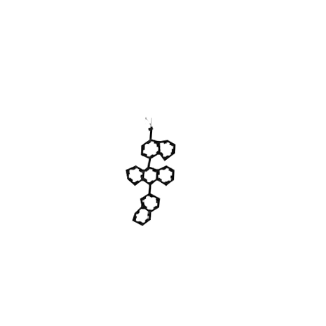 N#Cc1ccc(-c2c3ccccc3c(-c3ccc4ccccc4c3)c3ccccc23)c2ccccc12